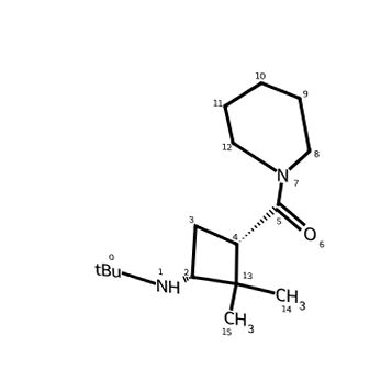 CC(C)(C)N[C@@H]1C[C@H](C(=O)N2CCCCC2)C1(C)C